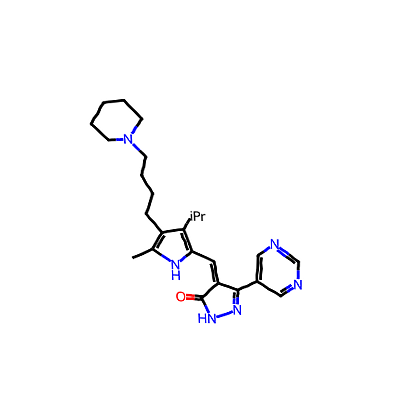 Cc1[nH]c(C=C2C(=O)NN=C2c2cncnc2)c(C(C)C)c1CCCCN1CCCCC1